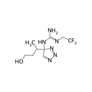 CC(CCO)C1(NC(N)=NCC(F)(F)F)C=NN=N1